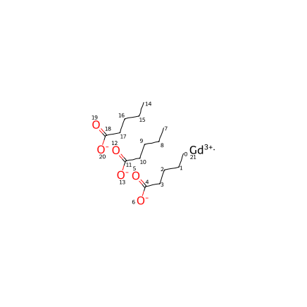 CCCCC(=O)[O-].CCCCC(=O)[O-].CCCCC(=O)[O-].[Gd+3]